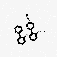 Nc1ccccc1-c1ccccc1.Nc1ccccc1-c1ccccc1.O=S=O